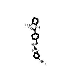 Nc1ccc2nc(NCc3ccc(C(=O)Nc4ccccc4N)cc3)sc2c1